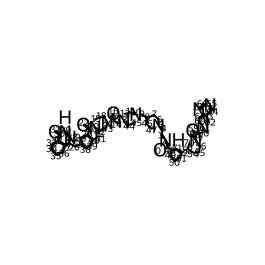 O=C(NCCN1CCC(CN2CCN(CC(=O)N3CCN(C(=O)c4cc(Cc5n[nH]c(=O)c6ccccc56)ccc4F)CC3)CC2)CC1)c1cccc([C@@H]2CCCN(C(=O)CN3Cc4cncnc4C3)C2)c1